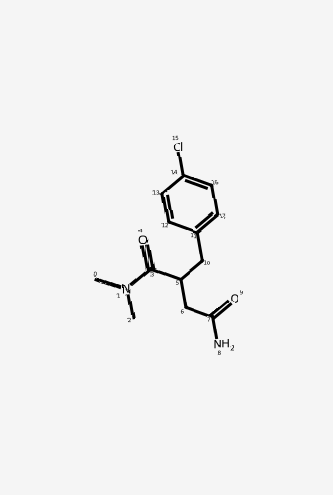 CN(C)C(=O)C(CC(N)=O)Cc1ccc(Cl)cc1